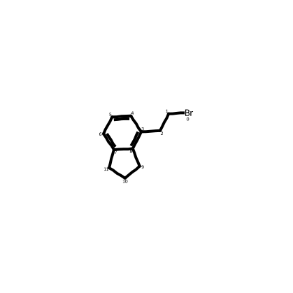 BrCCc1cccc2c1CCC2